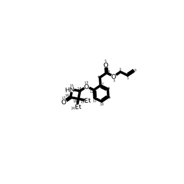 C=CCOC(=O)Cc1ccccc1OC1NC(=O)C1(CC)CC